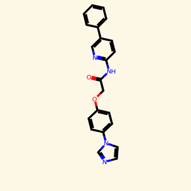 O=C(COc1ccc(-n2ccnc2)cc1)Nc1ccc(-c2ccccc2)cn1